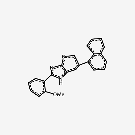 COc1ccccc1-c1nc2ncc(-c3cccc4ccccc34)cc2[nH]1